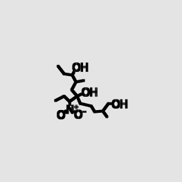 CCC(O)C(C)CC(O)(CCCC(C)CO)C(CC)[N+](=O)[O-]